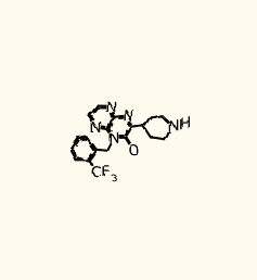 O=c1c(C2CCNCC2)nc2nccnc2n1Cc1ccccc1C(F)(F)F